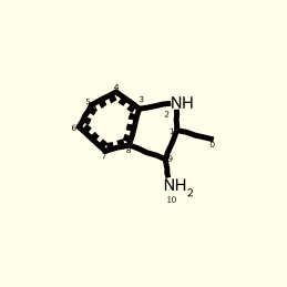 CC1Nc2ccccc2C1N